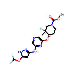 CC(C)(C)OC(=O)N1CC[C@@H](Oc2cncc(Nc3cc(OC(F)F)[nH]n3)n2)[C@](C)(F)C1